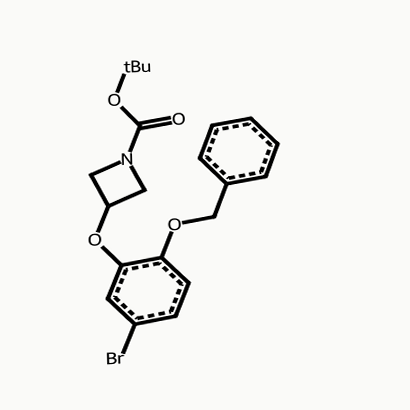 CC(C)(C)OC(=O)N1CC(Oc2cc(Br)ccc2OCc2ccccc2)C1